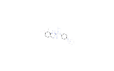 COc1ccc2cnc(Nc3ccc(N4CCCC4)cc3)nc2c1C(C)C